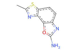 Cc1nc2c(ccc3nc(N)oc32)s1